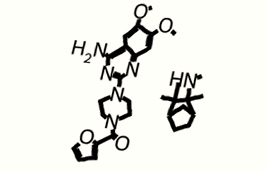 CNC1(C)C2CCC(C2)C1(C)C.COc1cc2nc(N3CCN(C(=O)c4ccco4)CC3)nc(N)c2cc1OC